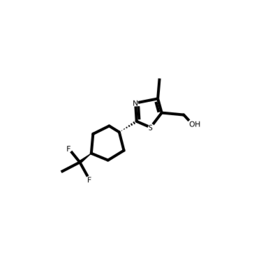 Cc1nc([C@H]2CC[C@H](C(C)(F)F)CC2)sc1CO